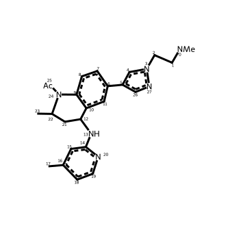 CNCCn1cc(-c2ccc3c(c2)C(Nc2cc(C)ccn2)CC(C)N3C(C)=O)cn1